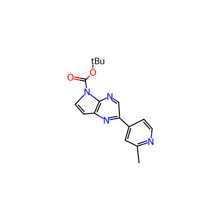 Cc1cc(-c2cnc3c(ccn3C(=O)OC(C)(C)C)n2)ccn1